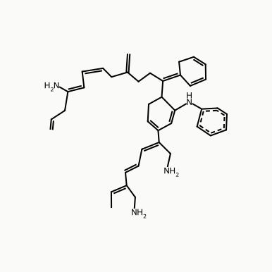 C=CC/C(N)=C/C=C\CC(=C)CC/C(=C1/C=CC=CC1)C1CC=C(/C(=C/C=C/C(=C/C)CN)CN)C=C1Nc1ccccc1